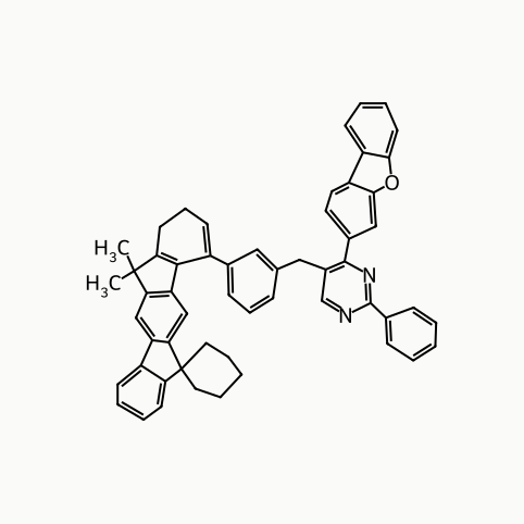 CC1(C)C2=C(C(c3cccc(Cc4cnc(-c5ccccc5)nc4-c4ccc5c(c4)oc4ccccc45)c3)=CCC2)c2cc3c(cc21)-c1ccccc1C31CCCCC1